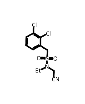 CCN(CC#N)S(=O)(=O)Cc1cccc(Cl)c1Cl